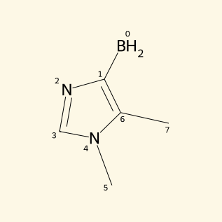 Bc1ncn(C)c1C